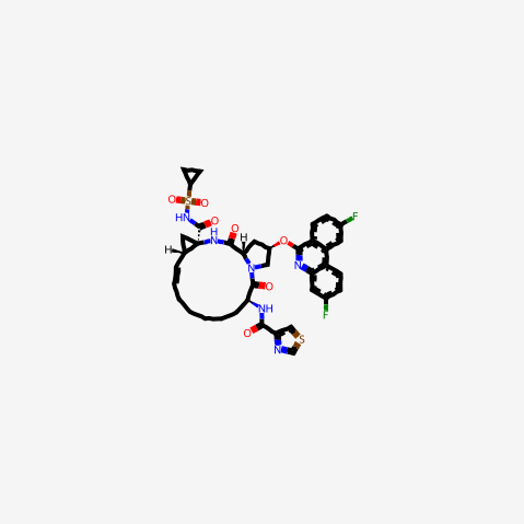 O=C(N[C@H]1CCCCC/C=C\[C@@H]2C[C@@]2(C(=O)NS(=O)(=O)C2CC2)NC(=O)[C@@H]2C[C@@H](Oc3nc4cc(F)ccc4c4cc(F)ccc34)CN2C1=O)c1cscn1